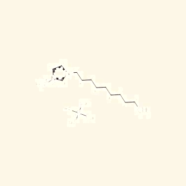 CCCCCCCCCC[n+]1ccn(C)c1.F[B-](F)(F)F